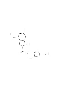 Nc1nc2c(s1)CN(C(=O)c1cc3c(C(F)F)cc(F)cc3[nH]1)CC2